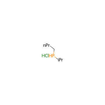 CCCCPC(C)C.Cl